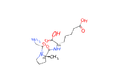 C[C@@]1(C(=O)N[C@@H](CCCCC(=O)O)C(=O)O)CCCN1C(=O)CN